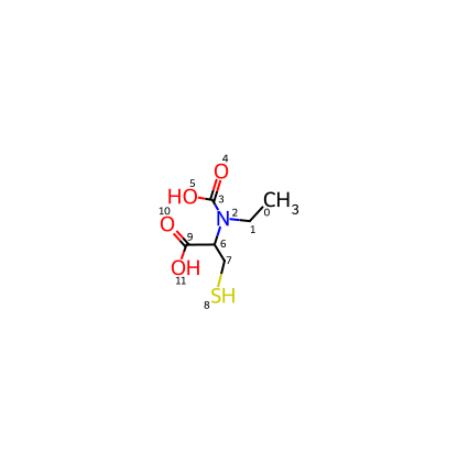 CCN(C(=O)O)C(CS)C(=O)O